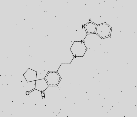 O=C1Nc2ccc(CCN3CCN(c4nsc5ccccc45)CC3)cc2C12CCCC2